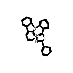 c1ccc(-c2nnc(-c3ccccc3-n3c4ccccc4c4cccnc43)o2)cc1